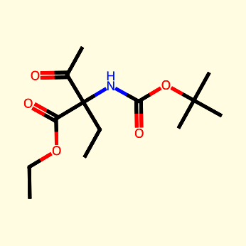 CCOC(=O)C(CC)(NC(=O)OC(C)(C)C)C(C)=O